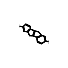 Ic1ccc2c(c1)CC1=C2Cc2cc(I)ccc21